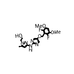 COc1cc(OC)c(F)c(COc2cnc(Nc3cc(C)n(CCO)n3)nc2)c1F